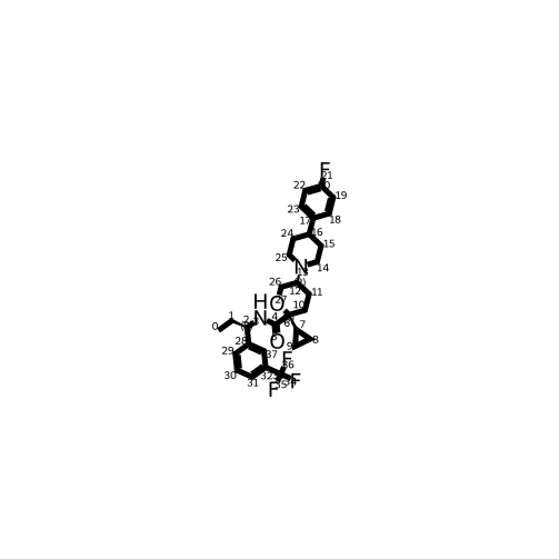 CC[C@@H](NC(=O)[C@@]1(C2CC2)CC[C@@H](N2CCC(c3ccc(F)cc3)CC2)CO1)c1cccc(C(F)(F)F)c1